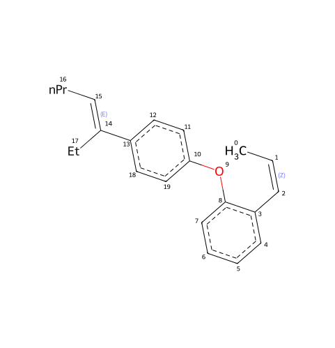 C/C=C\c1ccccc1Oc1ccc(/C(=C/CCC)CC)cc1